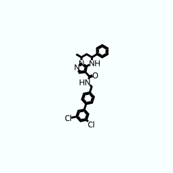 CC1CC(c2ccccc2)Nc2c(C(=O)NCc3ccc(-c4cc(Cl)cc(Cl)c4)cc3)cnn21